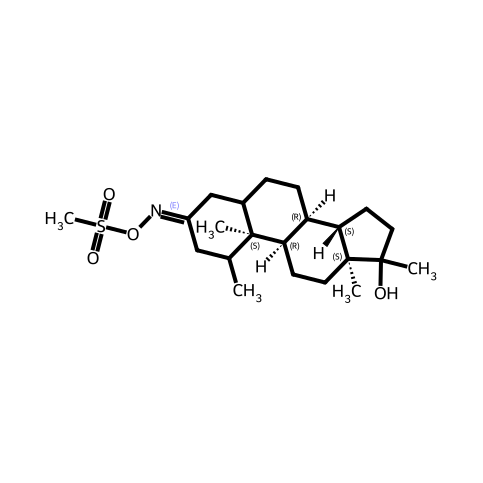 CC1C/C(=N\OS(C)(=O)=O)CC2CC[C@@H]3[C@@H](CC[C@@]4(C)[C@H]3CCC4(C)O)[C@@]12C